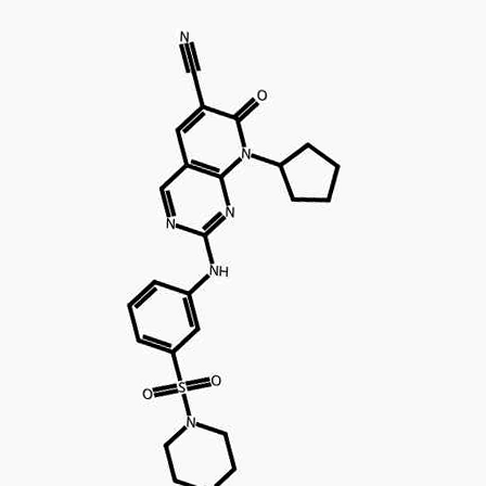 N#Cc1cc2cnc(Nc3cccc(S(=O)(=O)N4CCOCC4)c3)nc2n(C2CCCC2)c1=O